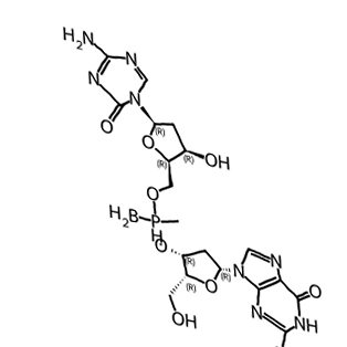 B[PH](C)(OC[C@H]1O[C@@H](n2cnc(N)nc2=O)C[C@H]1O)O[C@@H]1C[C@H](n2cnc3c(=O)[nH]c(N)nc32)O[C@@H]1CO